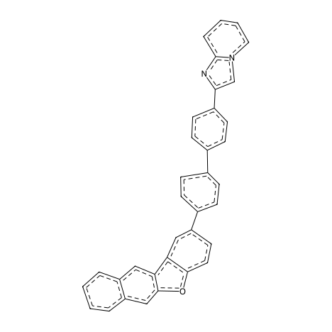 c1ccc2cc3c(cc2c1)oc1ccc(-c2ccc(-c4ccc(-c5cn6ccccc6n5)cc4)cc2)cc13